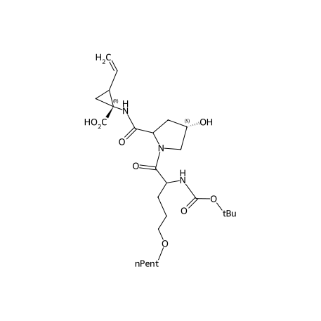 C=CC1C[C@]1(NC(=O)C1C[C@H](O)CN1C(=O)C(CCCOCCCCC)NC(=O)OC(C)(C)C)C(=O)O